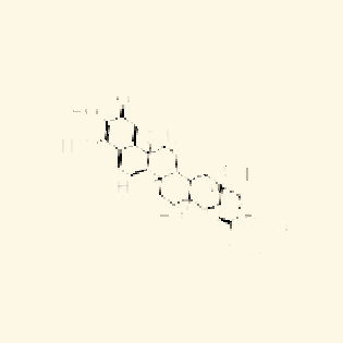 CC(=O)N(C)C[C@]1(C)CCC2(C)CCC3(C)C4=CC=C5C(=CC(=O)C(O)=C5C)C4(C)CCC3C2C1